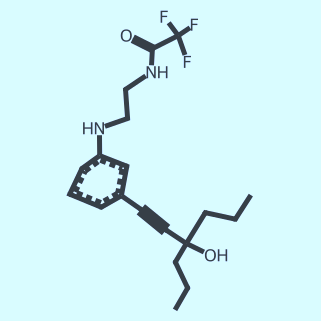 CCCC(O)(C#Cc1cccc(NCCNC(=O)C(F)(F)F)c1)CCC